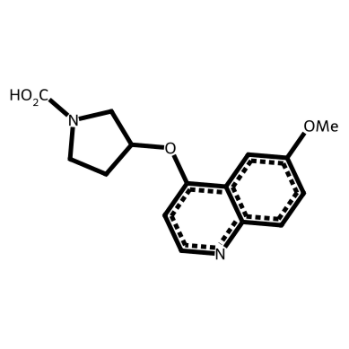 COc1ccc2nccc(OC3CCN(C(=O)O)C3)c2c1